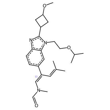 COC1CC(c2nc3ccc(/C(C=C(C)C)=C/N(C)C=O)cc3n2CCOC(C)C)C1